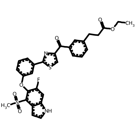 CCOC(=O)CCc1cccc(C(=O)c2csc(-c3cccc(Oc4c(F)cc5[nH]ccc5c4S(C)(=O)=O)c3)n2)c1